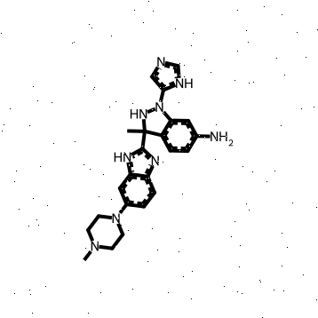 CN1CCN(c2ccc3nc(C4(C)NN(c5cnc[nH]5)c5cc(N)ccc54)[nH]c3c2)CC1